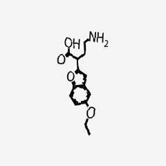 CCOc1ccc2oc(C(CCN)C(=O)O)cc2c1